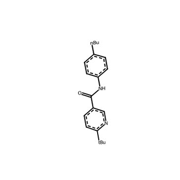 CCCCc1ccc(NC(=O)c2ccc(C(C)(C)C)nc2)cc1